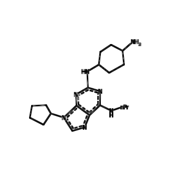 CCCNc1nc(NC2CCC(N)CC2)nc2c1ncn2C1CCCC1